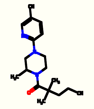 CC1CN(c2ccc(C#N)cn2)CCN1C(=O)C(C)(C)CCC#N